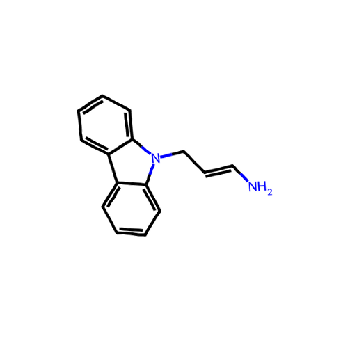 NC=CCn1c2ccccc2c2ccccc21